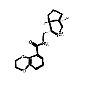 O=C(NC[C@H]1NC[C@@H]2CCC[C@@H]21)C1=CCCC2=C1OCCO2